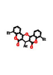 CCc1cccc2c3c(c(=O)oc12)C(C(C)=O)c1c(c2cccc(CC)c2oc1=O)O3